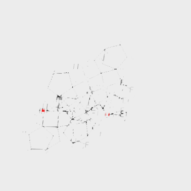 CCO[Si](OCC)(OCC)C1(S(S)(SS)C2CCCC2(S(S)(SS)C2([Si](OCC)(OCC)OCC)CC3CCC2(CC)C3)S(S)(SS)C2([Si](OCC)(OCC)OCC)CC3CCC2(CC)C3)CC2CCC1(CC)C2